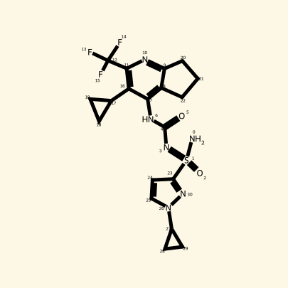 NS(=O)(=NC(=O)Nc1c2c(nc(C(F)(F)F)c1C1CC1)CCC2)c1ccn(C2CC2)n1